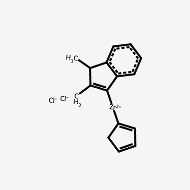 CC1=[C]([Zr+2][C]2=CC=CC2)c2ccccc2C1C.[Cl-].[Cl-]